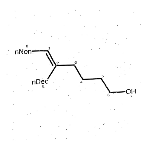 CCCCCCCCC/C=C(/CCCCO)CCCCCCCCCC